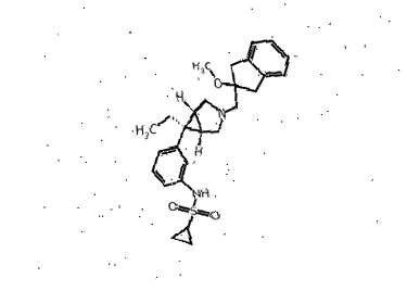 CC[C@]1(c2cccc(NS(=O)(=O)C3CC3)c2)[C@@H]2CN(CC3(OC)Cc4ccccc4C3)C[C@@H]21